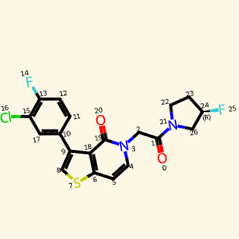 O=C(Cn1ccc2scc(-c3ccc(F)c(Cl)c3)c2c1=O)N1CC[C@@H](F)C1